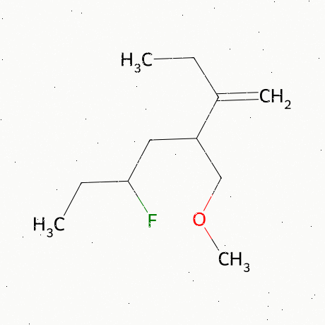 C=C(CC)C(COC)CC(F)CC